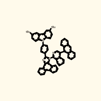 CC(C)(C)c1ccc2c(c1)c1cc(C(C)(C)C)ccc1n2-c1ccc(-c2nc3c4ccccc4c4ccccc4c3n2-c2ncc(-c3c4ccccc4cc4ccccc34)c3ccccc23)cc1